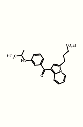 CCOC(=O)CCCc1cc(C(=O)c2cccc(NC(C)C(=O)O)c2)c2ccccn12